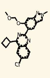 COCOc1cc2nn(C)cc2cc1-c1nc(C2CCC2)c2cc(Cl)ccc2n1